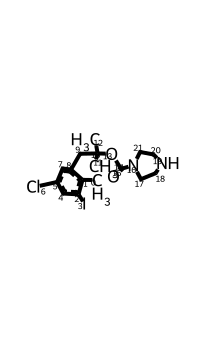 Cc1c(I)cc(Cl)cc1CC(C)(C)OC(=O)N1CCNCC1